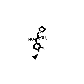 N[C@H](CN1CCCC1)[C@H](O)c1ccc(OC2CC2)c(Cl)c1